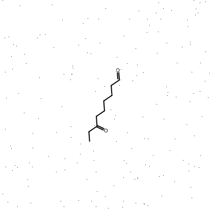 CCC(=O)CCCCC[C]=O